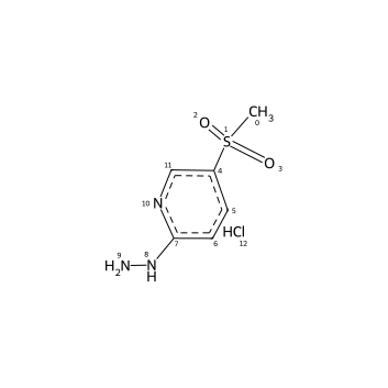 CS(=O)(=O)c1ccc(NN)nc1.Cl